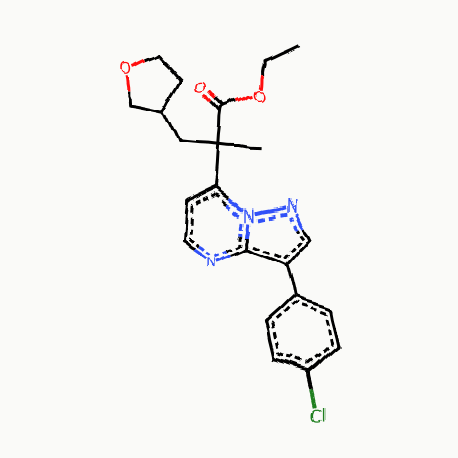 CCOC(=O)C(C)(CC1CCOC1)c1ccnc2c(-c3ccc(Cl)cc3)cnn12